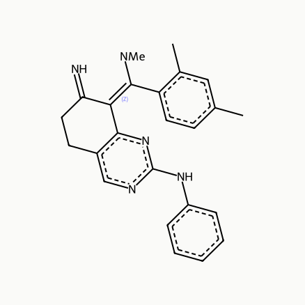 CN/C(=C1\C(=N)CCc2cnc(Nc3ccccc3)nc21)c1ccc(C)cc1C